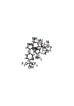 CC(=O)c1c(C2C[C@H]3CC[C@@H](C2)N3C(=O)c2cc(N)n[nH]2)nc2c(-c3ccc(C(O)(C(F)(F)F)C(F)(F)F)nc3)cnn2c1N